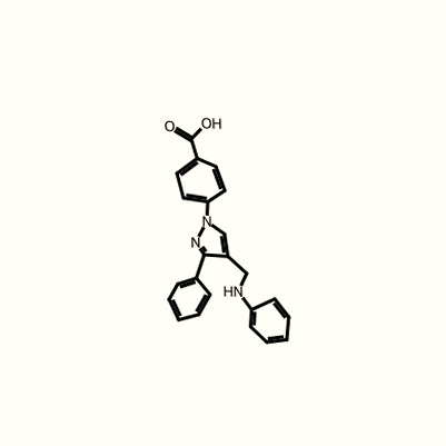 O=C(O)c1ccc(-n2cc(CNc3ccccc3)c(-c3ccccc3)n2)cc1